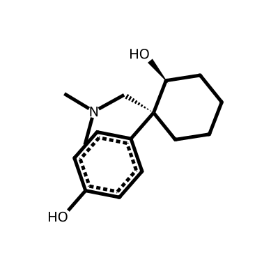 CN(C)C[C@@]1(c2ccc(O)cc2)CCCC[C@@H]1O